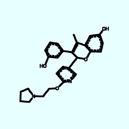 CC1=C(c2cccc(O)c2)C(c2ccc(OCCN3CCCC3)nc2)Oc2ccc(O)cc21